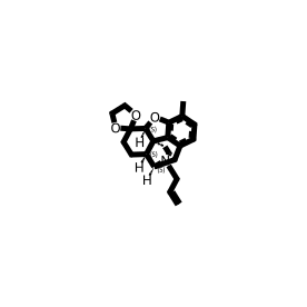 C=CCN1CC[C@@]23c4c5ccc(C)c4O[C@@H]2C2(CC[C@@H]3[C@@H]1C5)OCCO2